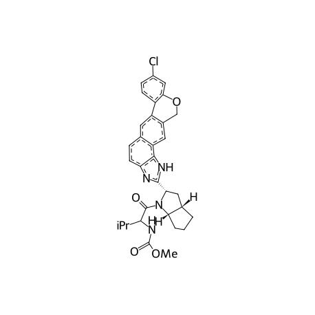 COC(=O)NC(C(=O)N1[C@H](c2nc3ccc4cc5c(cc4c3[nH]2)COc2cc(Cl)ccc2-5)C[C@@H]2CCC[C@@H]21)C(C)C